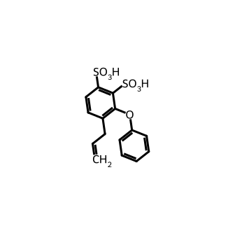 C=CCc1ccc(S(=O)(=O)O)c(S(=O)(=O)O)c1Oc1ccccc1